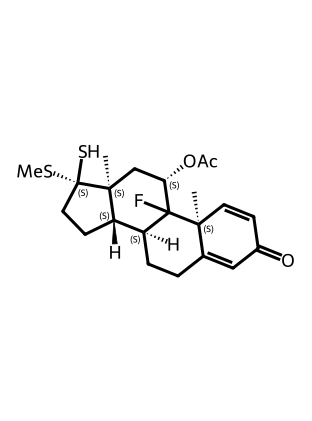 CS[C@@]1(S)CC[C@H]2[C@@H]3CCC4=CC(=O)C=C[C@]4(C)C3(F)[C@@H](OC(C)=O)C[C@@]21C